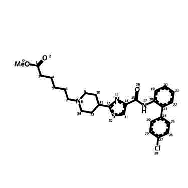 COC(=O)CCCCCN1CCC(c2nc(C(=O)Nc3ccccc3-c3ccc(Cl)cc3)cs2)CC1